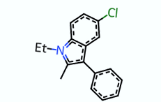 CCn1c(C)c(-c2ccccc2)c2cc(Cl)ccc21